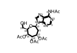 CC(=O)Nc1ncnc2c1ncn2[C@H]1C[C@H](OC(C)=O)[C@H](OC(C)=O)[C@H](OC(C)=O)[C@@H](CO)O1